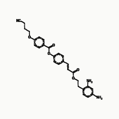 N#CCCCOc1ccc(C(=O)Oc2ccc(/C=C/C(=O)OCCc3ccc(N)cc3N)cc2)cc1